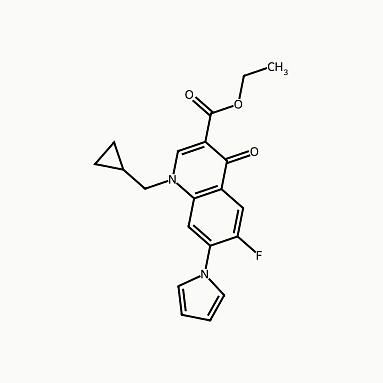 CCOC(=O)c1cn(CC2CC2)c2cc(-n3cccc3)c(F)cc2c1=O